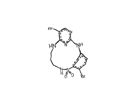 O=S1(=O)NCCCNc2nc(ncc2Br)Nc2ccc(Br)c1c2